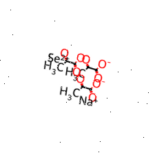 CC(=O)C(=O)[O-].CC(=O)C(=O)[O-].CC(=O)C(=O)[O-].[Na+].[Se+2]